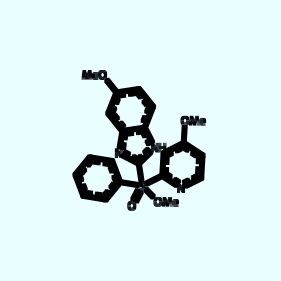 COc1ccnc(S(=O)(OC)(c2ccccc2)c2nc3cc(OC)ccc3[nH]2)c1